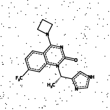 C[C@@H](c1c[nH]cn1)n1c(=O)nc(N2CCC2)c2ccc(C(F)(F)F)cc21